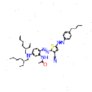 CCCCc1ccc(N=Nc2cc(C#N)c(/N=N/c3ccc(N(CC(CC)CCCC)CC(CC)CCCC)cc3NC(C)=O)s2)cc1